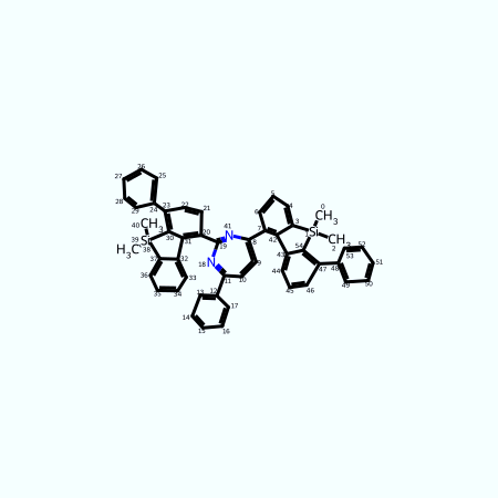 C[Si]1(C)c2cccc(C3=C=CC(c4ccccc4)=NC(c4ccc(-c5ccccc5)c5c4-c4ccccc4[Si]5(C)C)=N3)c2-c2cccc(-c3ccccc3)c21